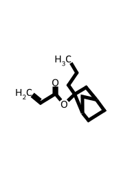 C=CC(=O)OC1(CCC)CC2CCC1C2